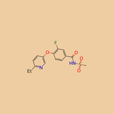 CCc1ccc(Oc2ccc(C(=O)NS(C)(=O)=O)cc2F)cn1